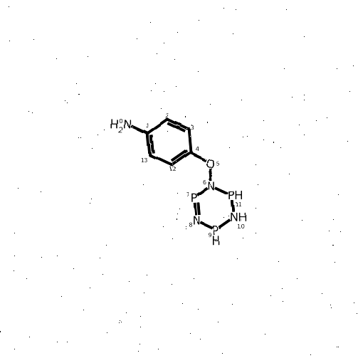 Nc1ccc(On2pn[pH][nH][pH]2)cc1